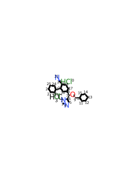 Cl.Cn1cncc1C(OCc1ccccc1)c1ccc(C#N)c(-c2ccccc2Cl)c1